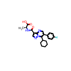 C[C@H](NC(=O)c1cnn2c(C3CCCCC3)c(-c3ccc(F)cc3)cnc12)C(=O)O